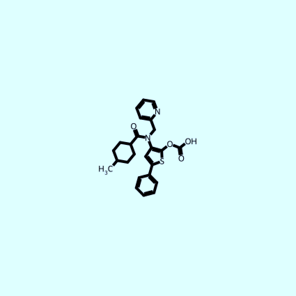 CC1CCC(C(=O)N(Cc2ccccn2)c2cc(-c3ccccc3)sc2OC(=O)O)CC1